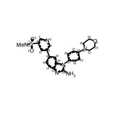 CNS(=O)(=O)c1cncc(-c2ccc3nc(N)n(-c4ccc(N5CCOCC5)cc4)c3c2)c1